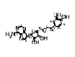 Nc1ncnc2c1ncn2[C@@H]1O[C@H](COCCc2ccc(O)c(O)c2)[C@@H](O)[C@H]1O